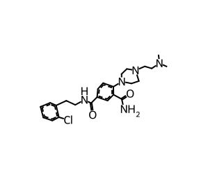 CN(C)CCN1CCN(c2ccc(C(=O)NCCc3ccccc3Cl)cc2C(N)=O)CC1